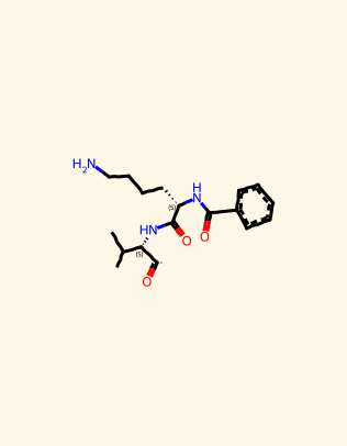 CC(C)[C@@H]([C]=O)NC(=O)[C@H](CCCCN)NC(=O)c1ccccc1